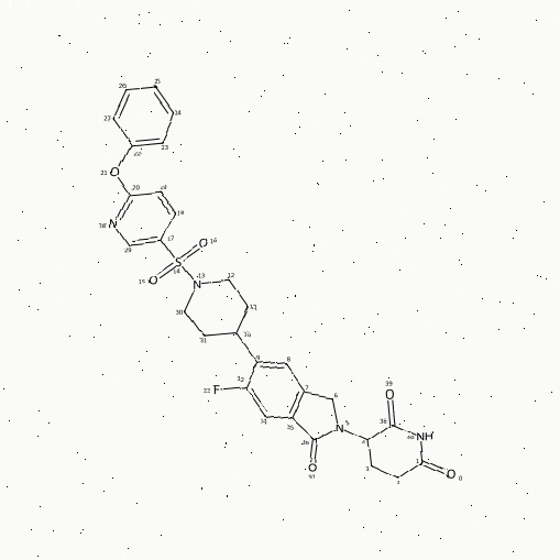 O=C1CCC(N2Cc3cc(C4CCN(S(=O)(=O)c5ccc(Oc6ccccc6)nc5)CC4)c(F)cc3C2=O)C(=O)N1